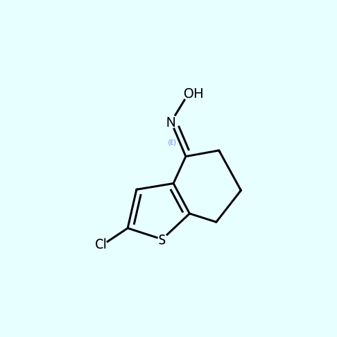 O/N=C1\CCCc2sc(Cl)cc21